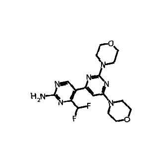 Nc1ncc(-c2cc(N3CCOCC3)nc(N3CCOCC3)n2)c(C(F)F)n1